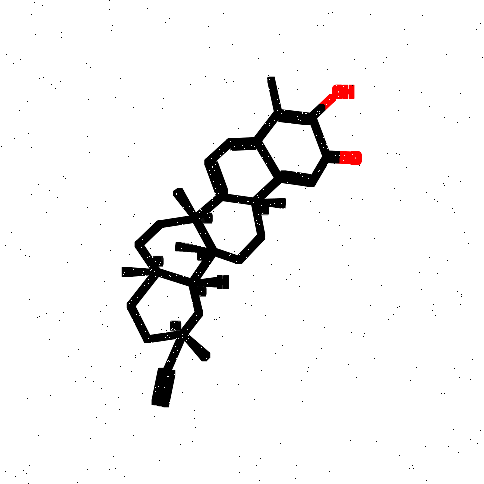 C#C[C@]1(C)CC[C@]2(C)CC[C@]3(C)C4=CC=C5C(=CC(=O)C(O)=C5C)[C@]4(C)CC[C@@]3(C)[C@@H]2C1